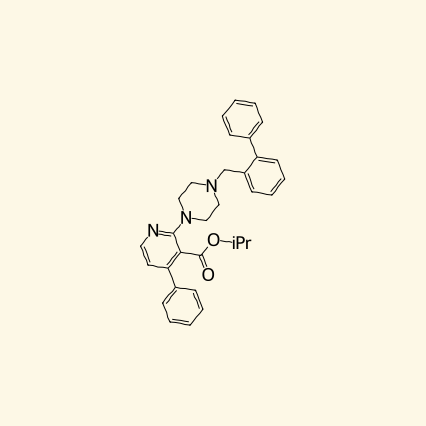 CC(C)OC(=O)c1c(-c2ccccc2)ccnc1N1CCN(Cc2ccccc2-c2ccccc2)CC1